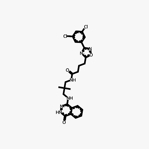 CC(C)(CNC(=O)CCCc1nc(-c2cc(Cl)cc(Cl)c2)no1)CNc1n[nH]c(=O)c2ccccc12